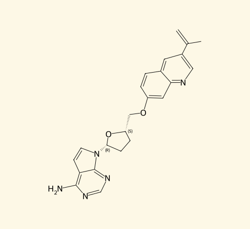 C=C(C)c1cnc2cc(OC[C@@H]3CC[C@H](n4ccc5c(N)ncnc54)O3)ccc2c1